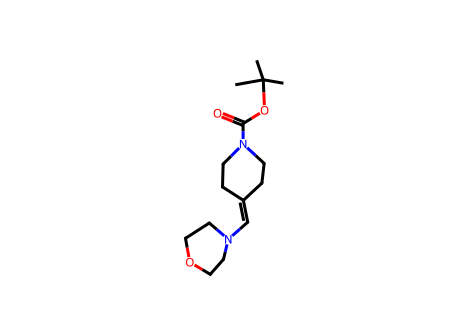 CC(C)(C)OC(=O)N1CCC(=CN2CCOCC2)CC1